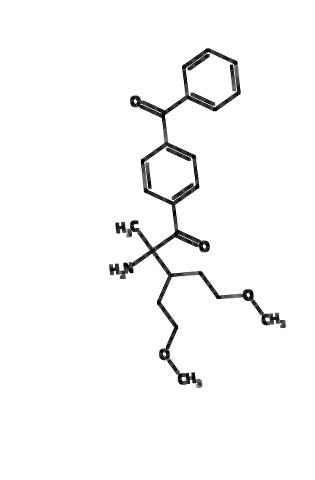 COCCC(CCOC)C(C)(N)C(=O)c1ccc(C(=O)c2ccccc2)cc1